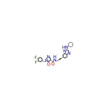 O=C(NCC#Cc1ccc2ncc(NC3CCCCC3)nc2c1)c1cncn(Cc2ccc(F)c(F)c2)c1=O